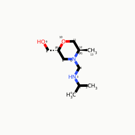 CC(C)NCN1C[C@H](CO)OC[C@H]1C